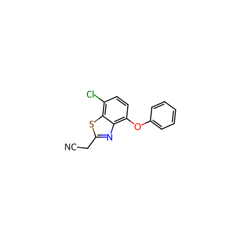 N#CCc1nc2c(Oc3ccccc3)ccc(Cl)c2s1